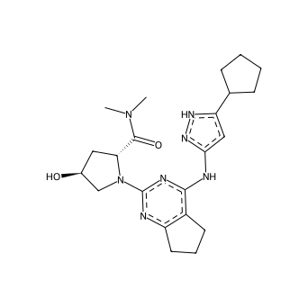 CN(C)C(=O)[C@H]1C[C@H](O)CN1c1nc2c(c(Nc3cc(C4CCCC4)[nH]n3)n1)CCC2